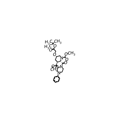 COC(=O)[C@H]1C[C@H](OCC(=O)OC(C)(C)C)CN(C(=O)OC)[C@@H]1C(=O)N1CCN(c2ccccc2)CC1